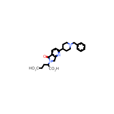 O=C(O)CCC(C(=O)O)N1Cc2nc(C3CCN(Cc4ccccc4)CC3)ccc2C1=O